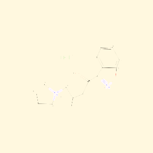 CC(CC(=O)c1noc2ccccc12)CN1CCCC1.Cl